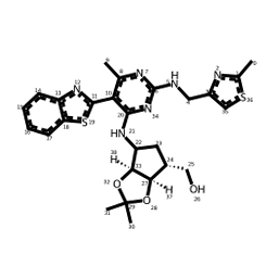 Cc1nc(CNc2nc(C)c(-c3nc4ccccc4s3)c(NC3C[C@H](CO)[C@H]4OC(C)(C)O[C@@H]34)n2)cs1